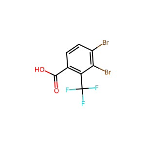 O=C(O)c1ccc(Br)c(Br)c1C(F)(F)F